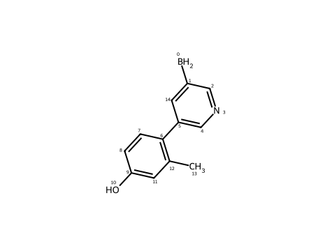 Bc1cncc(-c2ccc(O)cc2C)c1